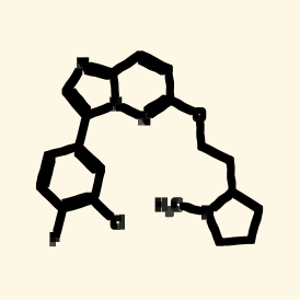 CN1CCCC1CCOc1ccc2ncc(-c3ccc(F)c(Cl)c3)n2n1